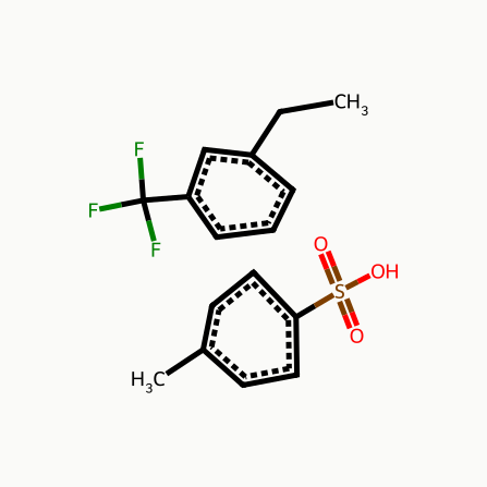 CCc1cccc(C(F)(F)F)c1.Cc1ccc(S(=O)(=O)O)cc1